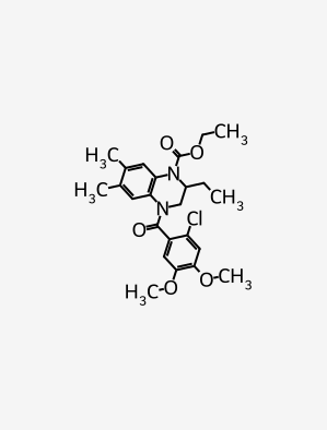 CCOC(=O)N1c2cc(C)c(C)cc2N(C(=O)c2cc(OC)c(OC)cc2Cl)CC1CC